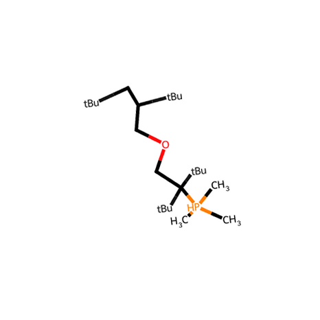 CC(C)(C)CC(COCC(C(C)(C)C)(C(C)(C)C)[PH](C)(C)C)C(C)(C)C